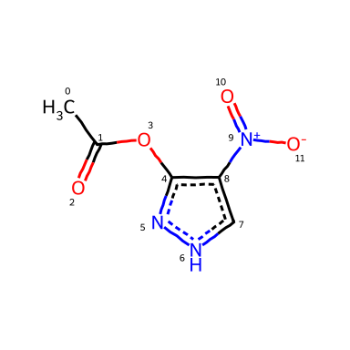 CC(=O)Oc1n[nH]cc1[N+](=O)[O-]